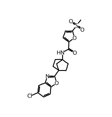 CS(=O)(=O)c1ccc(C(=O)NC23CCC(c4nc5cc(Cl)ccc5o4)(CC2)C3)o1